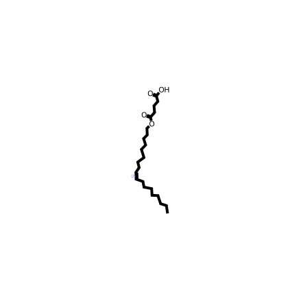 CCCCCCCC/C=C\CCCCCCCCOC(=O)CCCC(=O)O